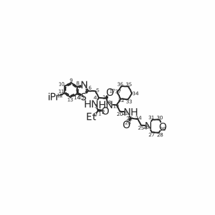 CCC(=O)NC(Cc1nc2ccc(C(C)C)cc2s1)C(=O)NC(CNC(=O)CCN1CCOCC1)C1CCCCC1